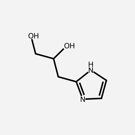 OCC(O)Cc1ncc[nH]1